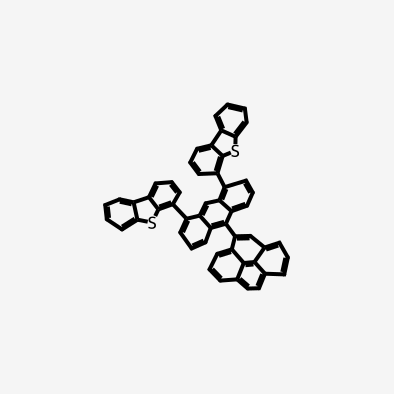 c1cc2ccc3cccc4c(-c5c6cccc(-c7cccc8c7sc7ccccc78)c6cc6c(-c7cccc8c7sc7ccccc78)cccc56)cc(c1)c2c34